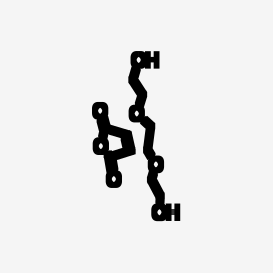 O=C1C=CC(=O)O1.OCCOCCOCCO